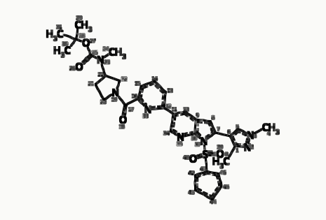 Cc1nn(C)cc1-c1cc2cc(-c3cccc(C(=O)N4CCC(N(C)C(=O)OC(C)(C)C)C4)n3)cnc2n1S(=O)(=O)c1ccccc1